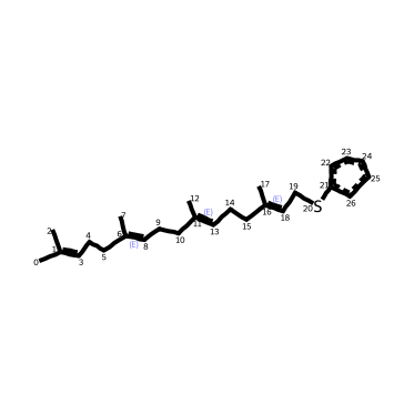 CC(C)=CCC/C(C)=C/CC/C(C)=C/CC/C(C)=C/CSc1ccccc1